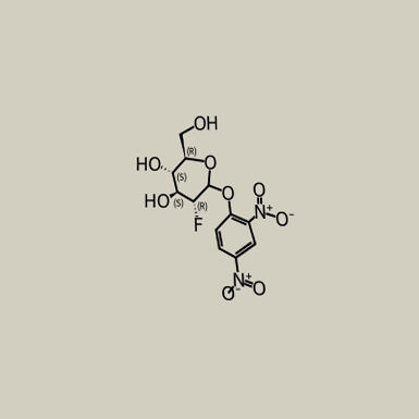 O=[N+]([O-])c1ccc(OC2O[C@H](CO)[C@@H](O)[C@H](O)[C@H]2F)c([N+](=O)[O-])c1